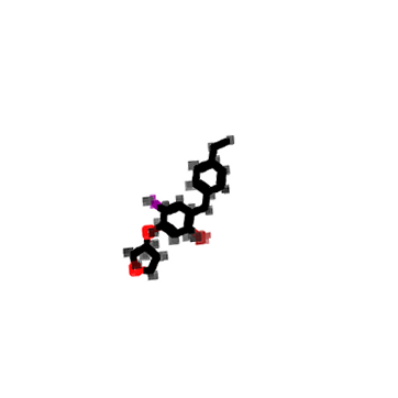 CCc1ccc(Cc2cc(I)c(O[C@@H]3CCOC3)cc2Br)cc1